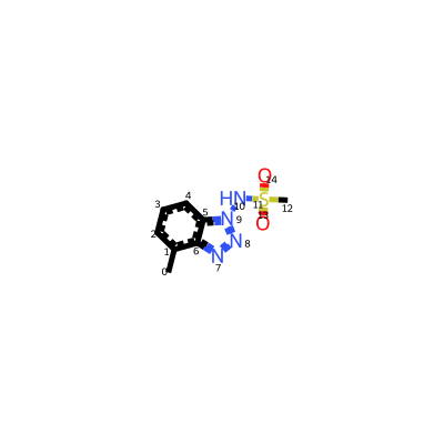 Cc1cccc2c1nnn2NS(C)(=O)=O